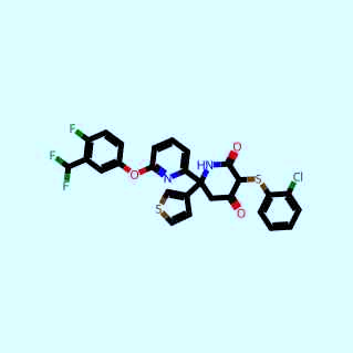 O=C1CC(c2ccsc2)(c2cccc(Oc3ccc(F)c(C(F)F)c3)n2)NC(=O)C1Sc1ccccc1Cl